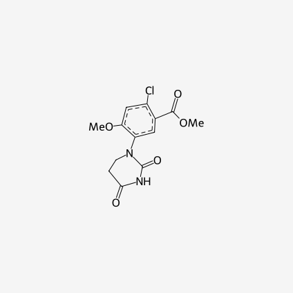 COC(=O)c1cc(N2CCC(=O)NC2=O)c(OC)cc1Cl